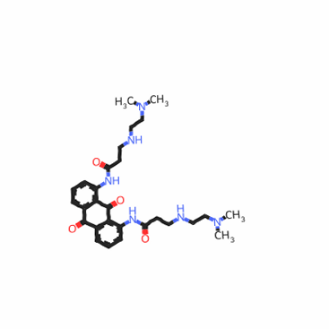 CN(C)CCNCCC(=O)Nc1cccc2c1C(=O)c1c(NC(=O)CCNCCN(C)C)cccc1C2=O